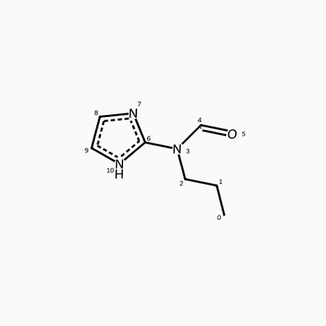 CCCN([C]=O)c1ncc[nH]1